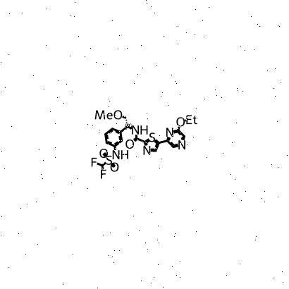 CCOc1cncc(-c2cnc(C(=O)N[C@@H](COC)c3cccc(NS(=O)(=O)C(F)F)c3)s2)n1